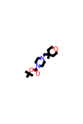 CC1(CN2CCN(C(=O)OC(C)(C)C)CC2)CCOCC1